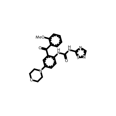 COc1ccccc1C(=O)c1cc(N2CCOCC2)ccc1NC(=O)Nc1ncns1